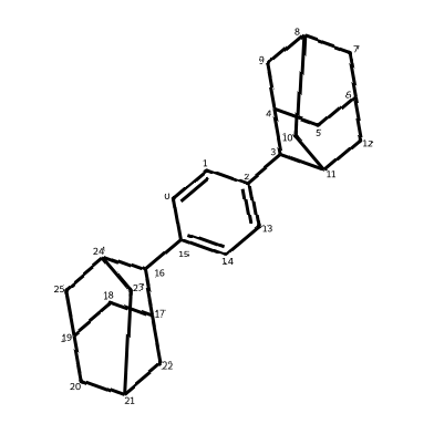 c1cc(C2C3CC4CC(C3)CC2C4)ccc1C1C2CC3CC(C2)CC1C3